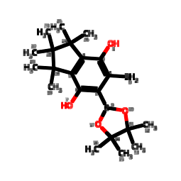 Bc1c(O)c2c(c(O)c1B1OC(C)(C)C(C)(C)O1)C(C)(C)C(C)(C)C2(C)C